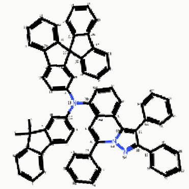 CC1(C)c2ccccc2-c2ccc(N(c3ccc4c(c3)C3(c5ccccc5-c5ccccc53)c3ccccc3-4)c3cccc4c3cc(-c3ccccc3)n3nc(-c5ccccc5)c(-c5ccccc5)c43)cc21